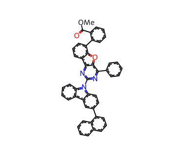 COC(=O)c1ccccc1-c1cccc2c1oc1c(-c3ccccc3)nc(-n3c4ccccc4c4cc(-c5cccc6ccccc56)ccc43)nc12